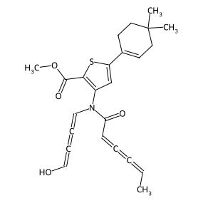 CC=C=C=CC(=O)N(C=C=C=CO)c1cc(C2=CCC(C)(C)CC2)sc1C(=O)OC